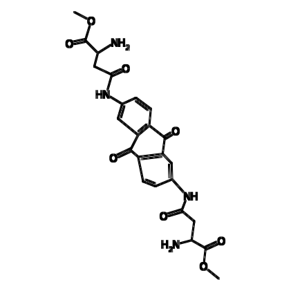 COC(=O)C(N)CC(=O)Nc1ccc2c(c1)C(=O)c1ccc(NC(=O)CC(N)C(=O)OC)cc1C2=O